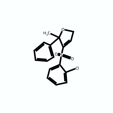 CC1(c2ccccc2)OCC=C1S(=O)(=O)c1ccccc1Cl